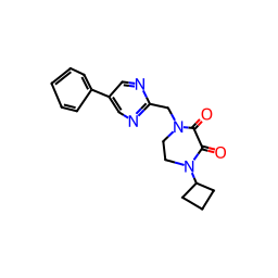 O=C1C(=O)N(C2CCC2)CCN1Cc1ncc(-c2ccccc2)cn1